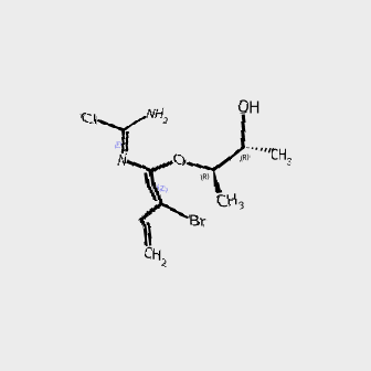 C=C/C(Br)=C(\N=C(/N)Cl)O[C@H](C)[C@@H](C)O